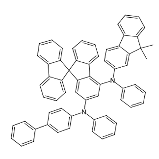 CC1(C)c2ccccc2-c2ccc(N(c3ccccc3)c3cc(N(c4ccccc4)c4ccc(-c5ccccc5)cc4)cc4c3-c3ccccc3C43c4ccccc4-c4ccccc43)cc21